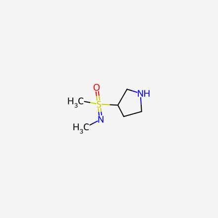 CN=S(C)(=O)C1CCNC1